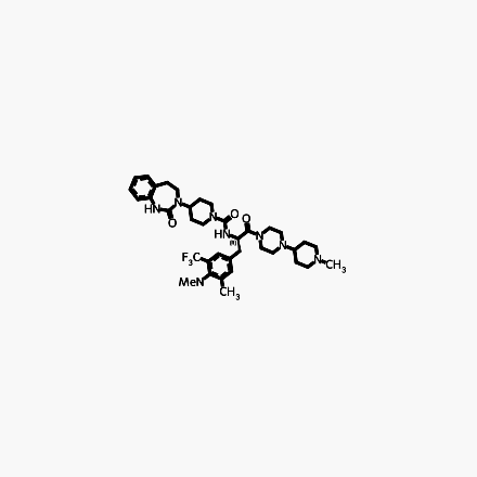 CNc1c(C)cc(C[C@@H](NC(=O)N2CCC(N3CCc4ccccc4NC3=O)CC2)C(=O)N2CCN(C3CCN(C)CC3)CC2)cc1C(F)(F)F